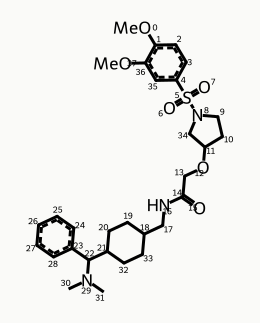 COc1ccc(S(=O)(=O)N2CCC(OCC(=O)NCC3CCC(C(c4ccccc4)N(C)C)CC3)C2)cc1OC